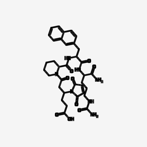 NC(=O)NCCCC(NC(=O)C(Cc1ccc2ccccc2c1)NC(=O)C1CCCCN1C(=O)CC(CCC(=O)O)N1C(=O)C=CC1=O)C(N)=O